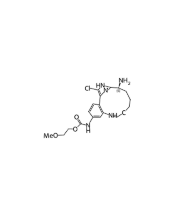 COCCOC(=O)Nc1ccc2c(c1)NCCCCC[C@H](N)c1nc-2c(Cl)[nH]1